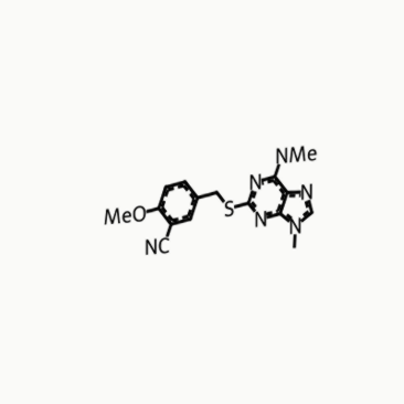 CNc1nc(SCc2ccc(OC)c(C#N)c2)nc2c1ncn2C